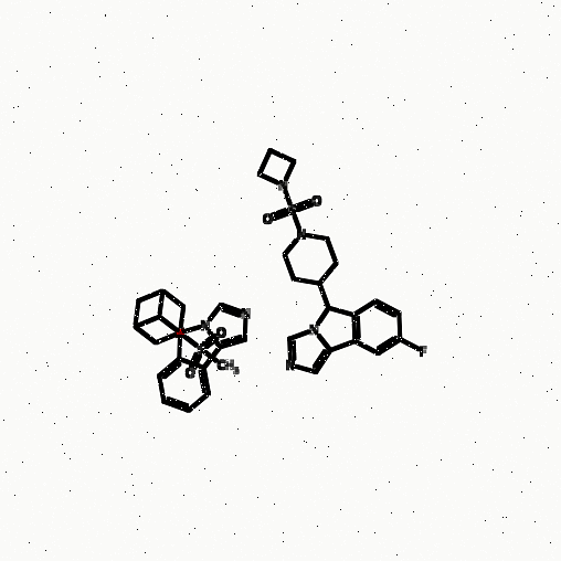 CS(=O)(=O)N1CC2CC(C1)C2C1c2ccccc2-c2cncn21.O=S(=O)(N1CCC1)N1CCC(C2c3ccc(F)cc3-c3cncn32)CC1